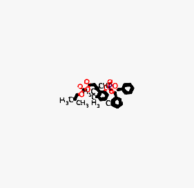 Cc1cc(C)c(C(C)(C)CC(=O)OC(=O)OCC(C)C)c(OP(=O)(OCc2ccccc2)OCc2ccccc2)c1